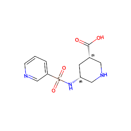 O=C(O)[C@@H]1CNC[C@H](NS(=O)(=O)c2cccnc2)C1